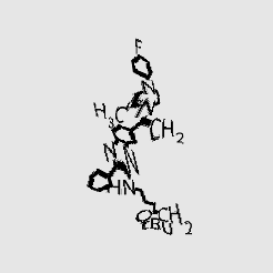 C=C(CCCNc1nc2cc(C(=C)N3CCN(c4ccc(F)cc4)C[C@H]3C)ccc2nc1-c1ccccc1)OC(C)(C)C